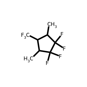 CC1C(C(F)(F)F)C(C)C(F)(F)C1(F)F